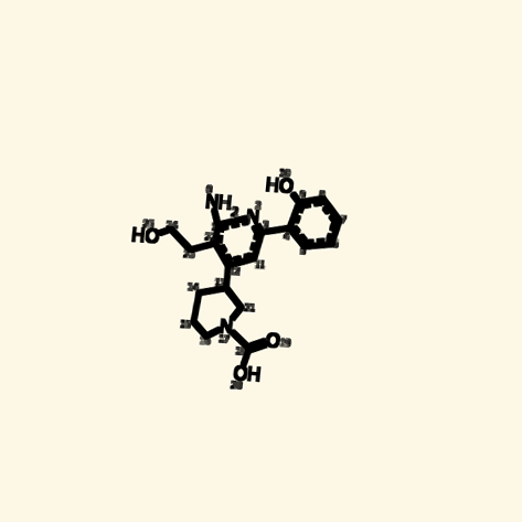 Nc1nc(-c2ccccc2O)cc(C2CCCN(C(=O)O)C2)c1CCO